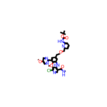 CNC(=O)c1cnc(Cl)cc1Nc1cc(CCOCc2cccc(NC(=O)OC(C)(C)C)n2)cc(-c2ncc(OC)cn2)c1OC